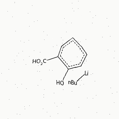 O=C(O)c1ccccc1O.[Li][CH2]CCC